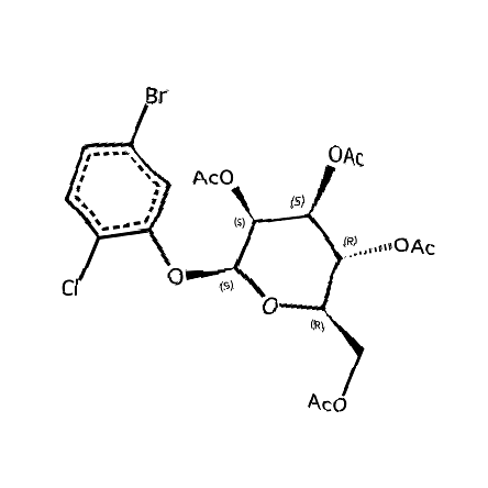 CC(=O)OC[C@H]1O[C@@H](Oc2cc(Br)ccc2Cl)[C@@H](OC(C)=O)[C@@H](OC(C)=O)[C@@H]1OC(C)=O